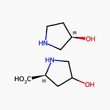 O=C(O)[C@@H]1CC(O)CN1.O[C@@H]1CCNC1